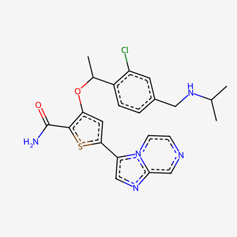 CC(C)NCc1ccc(C(C)Oc2cc(-c3cnc4cnccn34)sc2C(N)=O)c(Cl)c1